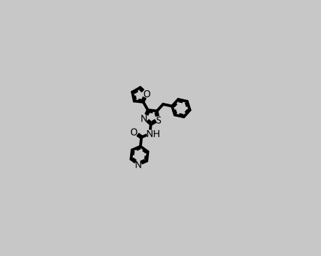 O=C(Nc1nc(-c2ccco2)c(Cc2ccccc2)s1)c1ccncc1